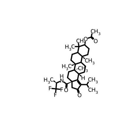 CC(=O)O[C@H]1CC[C@@]2(C)C(CC[C@]3(C)C2CC[C@@H]2C4=C(C(C)C)C(=O)C[C@]4(C(=O)N[C@H](C)C(F)(F)F)CC[C@]23C)C1(C)C